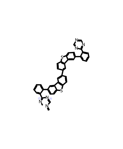 C=N/C=N\C(=N/C)c1ccccc1-c1ccc2sc3ccc(-c4ccc5sc6ccc(-c7ccccc7-c7ncncn7)cc6c5c4)cc3c2c1